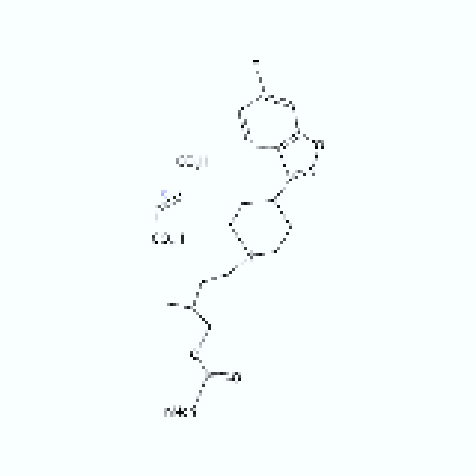 CCCCCCCCCC(=O)OCC(C)CCN1CCC(c2noc3cc(F)ccc23)CC1.O=C(O)/C=C/C(=O)O